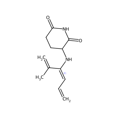 C=C/C=C(/NC1CCC(=O)NC1=O)C(=C)C